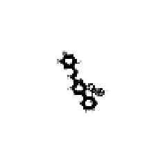 O=[N+]([O-])C1CC=CCC1c1ccc(C=Cc2ccccc2)cc1